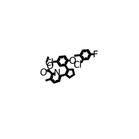 CCOC(=O)c1nc(C2=C(c3cc(Cl)ccc3OCc3ccc(F)cc3Cl)CCC2)ccc1C